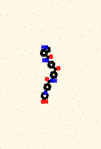 O=C(Nc1ccc(C(=O)c2ccc(NC(=O)c3cccc4[nH]ccc34)cc2)cc1)c1ccc(N2CCC(O)CC2)cc1